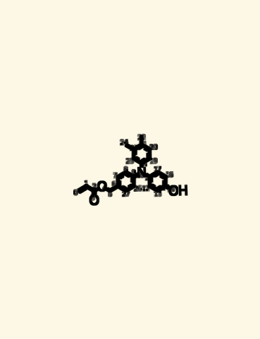 C=CC(=O)OCc1ccc(N(c2ccc(O)cc2)c2ccc(C)c(C)c2)cc1